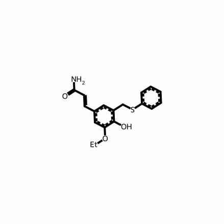 CCOc1cc(C=CC(N)=O)cc(CSc2ccccc2)c1O